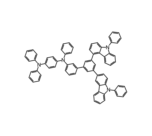 c1ccc(N(c2ccccc2)c2ccc(N(c3ccccc3)c3cccc(-c4cc(-c5ccc6c(c5)c5ccccc5n6-c5ccccc5)cc(-c5cccc6c5c5ccccc5n6-c5ccccc5)c4)c3)cc2)cc1